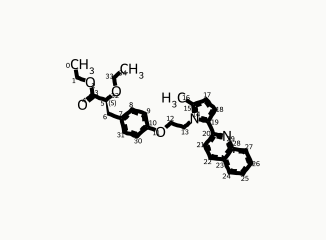 CCOC(=O)[C@H](Cc1ccc(OCCn2c(C)ccc2-c2ccc3ccccc3n2)cc1)OCC